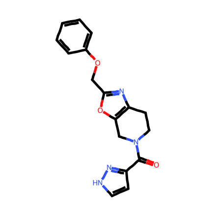 O=C(c1cc[nH]n1)N1CCc2nc(COc3ccccc3)oc2C1